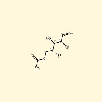 CC(=O)OC[C@@H](O)[C@@H](O)[C@H](O)C=O